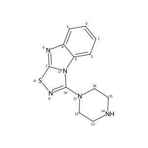 c1ccc2c(c1)nc1snc(N3CCNCC3)n12